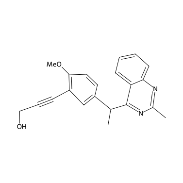 COc1ccc(C(C)c2nc(C)nc3ccccc23)cc1C#CCO